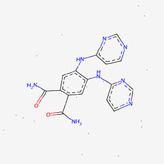 NC(=O)c1cc(Nc2ccncn2)c(Nc2ccncn2)cc1C(N)=O